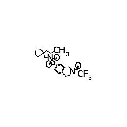 CC1CC2(CCCC2)CN1S(=O)(=O)c1ccc2c(c1)CN(C(=O)C(F)(F)F)CC2